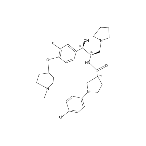 CN1CCC(Oc2ccc([C@@H](O)[C@@H](CN3CCCC3)NC(=O)[C@@H]3CCN(c4ccc(Cl)cc4)C3)cc2F)CC1